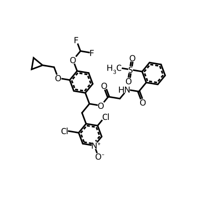 CS(=O)(=O)c1ccccc1C(=O)NCC(=O)OC(Cc1c(Cl)c[n+]([O-])cc1Cl)c1ccc(OC(F)F)c(OCC2CC2)c1